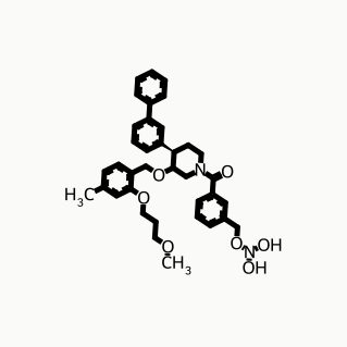 COCCCOc1cc(C)ccc1COC1CN(C(=O)c2cccc(CON(O)O)c2)CC[C@@H]1c1cccc(-c2ccccc2)c1